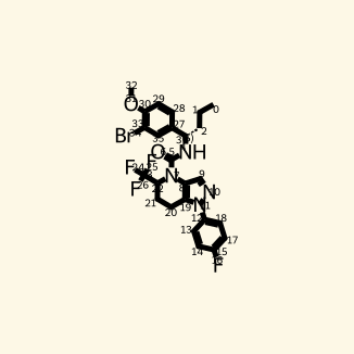 CCC[C@H](NC(=O)N1c2cnn(-c3ccc(F)cc3)c2CCC1C(F)(F)F)c1ccc(OC)c(Br)c1